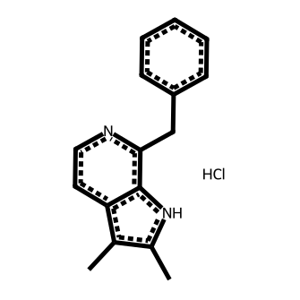 Cc1[nH]c2c(Cc3ccccc3)nccc2c1C.Cl